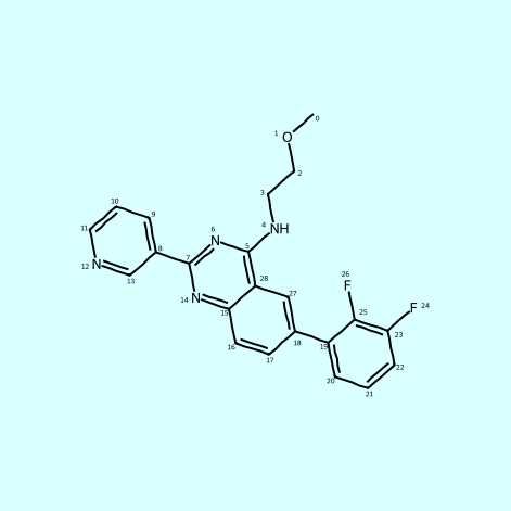 COCCNc1nc(-c2cccnc2)nc2ccc(-c3cccc(F)c3F)cc12